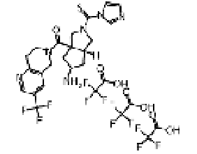 N[C@@H]1C[C@H]2CN(C(=S)n3ccnc3)C[C@@]2(C(=O)N2CCc3ncc(C(F)(F)F)cc3C2)C1.O=C(O)C(F)(F)F.O=C(O)C(F)(F)F.O=C(O)C(F)(F)F